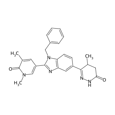 Cc1cc(-c2nc3cc(C4=NNC(=O)CC4C)ccc3n2Cc2ccccc2)cn(C)c1=O